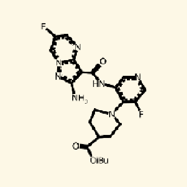 CC(C)COC(=O)C1CCN(c2c(F)cncc2NC(=O)c2c(N)nn3cc(F)cnc23)CC1